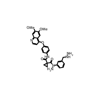 COc1cc2nccc(Oc3ccc(NC(=O)C4(C(=O)N(N)c5cccc(CNN)c5)CC4)cc3)c2cc1OC